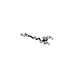 CCC([SiH3])(S)OCCOCCOC